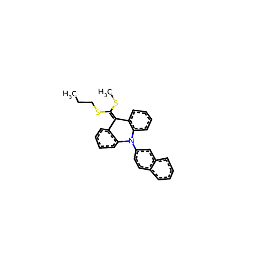 CCCSC(SC)=C1c2ccccc2N(c2ccc3ccccc3c2)c2ccccc21